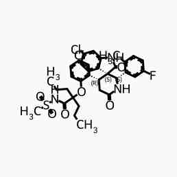 CCCC(CCC)(Oc1ccc(Cl)cc1[C@H]1CC(=O)N[C@@H](c2cc(F)ccc2C)[C@]12C(=O)Nc1cc(Cl)ccc12)C(=O)NS(C)(=O)=O